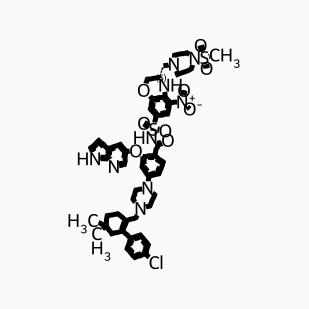 CC1(C)CCC(CN2CCN(c3ccc(C(=O)NS(=O)(=O)c4cc5c(c([N+](=O)[O-])c4)N[C@@H](CN4CCN(S(C)(=O)=O)CC4)CO5)c(Oc4cnc5[nH]ccc5c4)c3)CC2)=C(c2ccc(Cl)cc2)C1